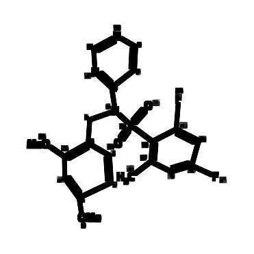 COc1ccc(CN(c2ccncn2)S(=O)(=O)c2c(C)cc(F)cc2F)c(OC)c1